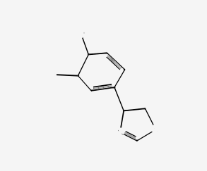 OC1C=CC(C2CSC=N2)=CC1Cl